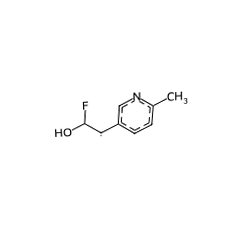 Cc1ccc([CH]C(O)F)cn1